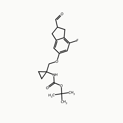 CC(C)(C)OC(=O)NC1(COc2cc(F)c3c(c2)CC(C=O)C3)CC1